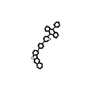 c1ccc(-c2c3ccccc3c(-c3ccc(-c4ccc(-c5ccc6oc7cc8ccccc8cc7c6c5)cc4)cn3)c3ccccc23)cc1